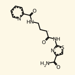 NC(=O)c1csc(NC(=O)[CH]CCNC(=O)c2ccccn2)n1